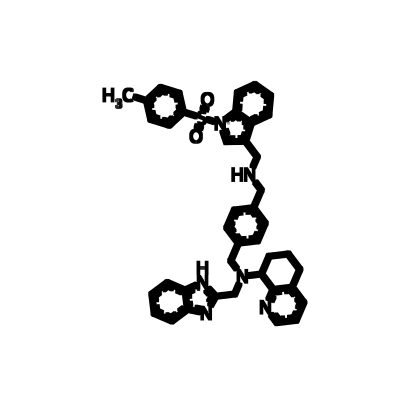 Cc1ccc(S(=O)(=O)n2cc(CNCc3ccc(CN(Cc4nc5ccccc5[nH]4)C4CCCc5cccnc54)cc3)c3ccccc32)cc1